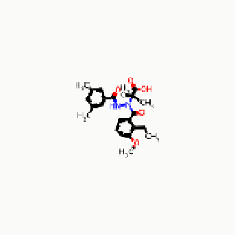 CCc1c(OC)cccc1C(=O)N(NC(=O)c1cc(C)cc(C)c1)C(C)(C)C(=O)O